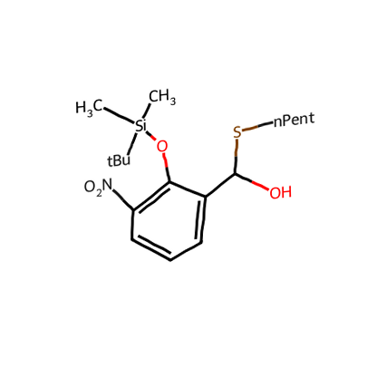 CCCCCSC(O)c1cccc([N+](=O)[O-])c1O[Si](C)(C)C(C)(C)C